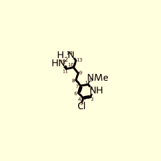 CN[C@H]1NC=C(Cl)C=C1CCC(C=N)CN